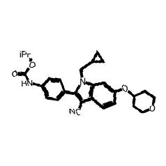 CC(C)OC(=O)Nc1ccc(-c2c(C#N)c3ccc(OC4CCOCC4)cc3n2CC2CC2)cc1